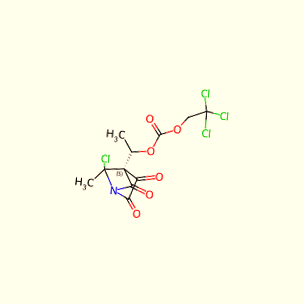 CC(OC(=O)OCC(Cl)(Cl)Cl)[C@]12C(=O)C(=O)N(C1=O)C2(C)Cl